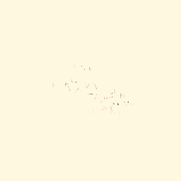 CO[C@@H]1[C@@H](O)[C@H](O)C(Oc2ccc(CCNC(C)=O)c(-c3ccc(C(F)(F)F)cc3)c2)OC1(C)C